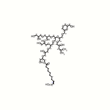 CCCCCCCC/C=C\CCCCCCCC(=O)OCC(CO)OCC(O)COCC(COCC(COCC(O)COCC(O)CO)OC(COCC(O)CN(C)C)COCC1COCC(CO)O1)OCC(O)CO